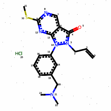 C=CCn1c(=O)c2cnc(SC)nc2n1-c1cccc(CN(C)C)c1.Cl